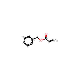 C=CC(=O)OCc1c[c]ccc1